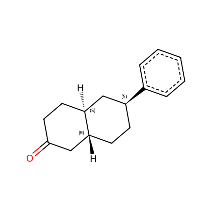 O=C1CC[C@H]2C[C@@H](c3ccccc3)CC[C@@H]2C1